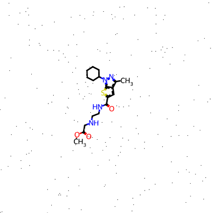 COC(=O)CNCCNC(=O)c1cc2c(C)nn(C3CCCCC3)c2s1